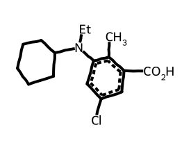 CCN(c1cc(Cl)cc(C(=O)O)c1C)C1CCCCC1